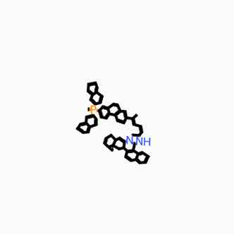 C=P(c1ccc2ccccc2c1)(c1ccc2ccccc2c1)c1ccc2c(ccc3cc(/C(C)=C/C=C\C4CN5C6=CC7CC=CC8C[C@]78CC6c6ccc7ccccc7c6C5N4)ccc32)c1